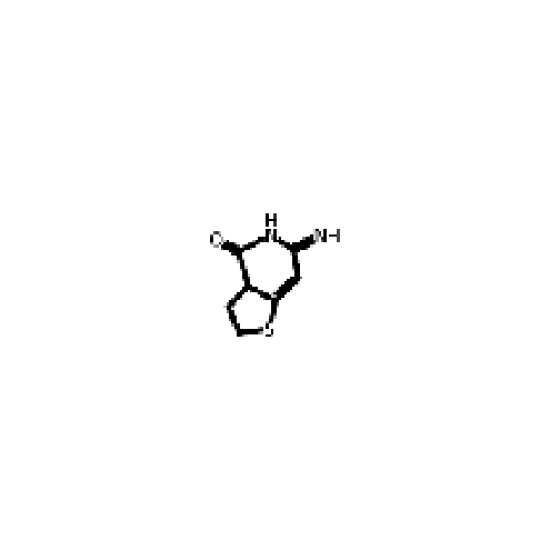 N=C1C=C2SCCC2C(=O)N1